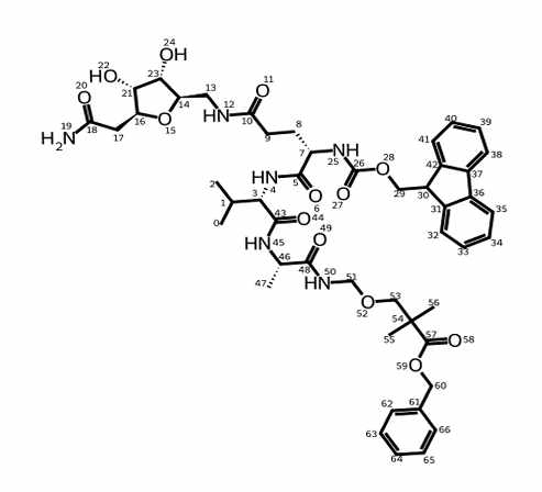 CC(C)[C@H](NC(=O)[C@H](CCC(=O)NC[C@H]1O[C@@H](CC(N)=O)[C@H](O)[C@@H]1O)NC(=O)OCC1c2ccccc2-c2ccccc21)C(=O)N[C@@H](C)C(=O)NCOCC(C)(C)C(=O)OCc1ccccc1